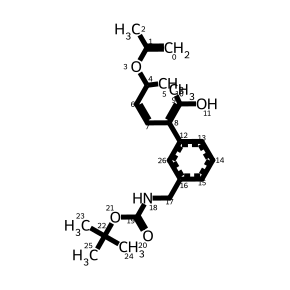 C=C(C)OC(C)/C=C\C(=C(/C)O)c1cccc(CNC(=O)OC(C)(C)C)c1